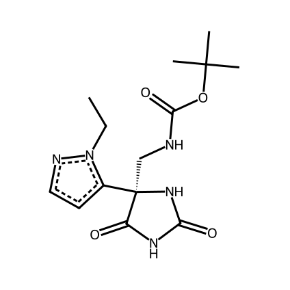 CCn1nccc1[C@@]1(CNC(=O)OC(C)(C)C)NC(=O)NC1=O